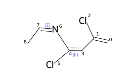 C=C(Cl)/C=C(Cl)\N=C/C